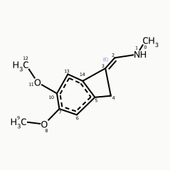 CN/C=C1\Cc2cc(OC)c(OC)cc21